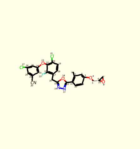 Cc1cc(OC[C@@H]2CO2)ccc1-c1nnc(Cc2ccc(Cl)c(Oc3cc(Cl)cc(C#N)c3)c2F)o1